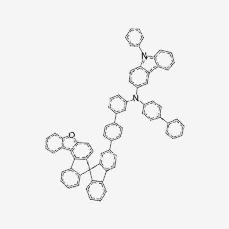 c1ccc(-c2ccc(N(c3cccc(-c4ccc(-c5ccc6c(c5)C5(c7ccccc7-6)c6ccccc6-c6c5ccc5oc7ccccc7c65)cc4)c3)c3ccc4c(c3)c3ccccc3n4-c3ccccc3)cc2)cc1